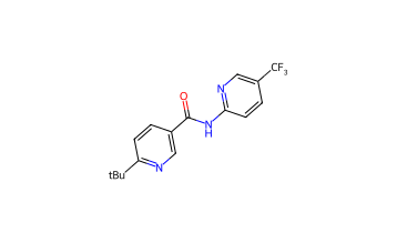 CC(C)(C)c1ccc(C(=O)Nc2ccc(C(F)(F)F)cn2)cn1